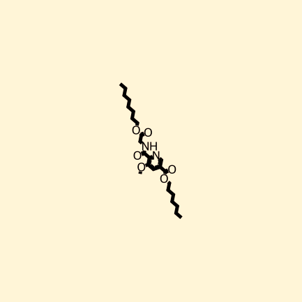 CCCCCCCCOC(=O)CNC(=O)c1ncc(C(=O)OCCCCCCC)cc1OC